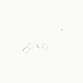 C=CCCCCCOc1cccc(NC(=O)c2ccc3nc(C)ccc3c2)c1